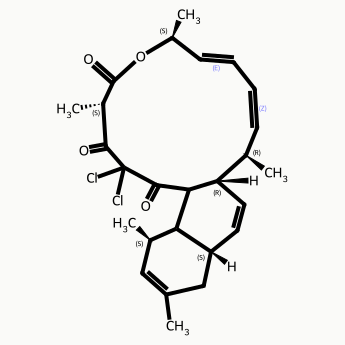 CC1=C[C@@H](C)C2C3C(=O)C(Cl)(Cl)C(=O)[C@H](C)C(=O)O[C@@H](C)/C=C/C=C\[C@@H](C)[C@@H]3C=C[C@@H]2C1